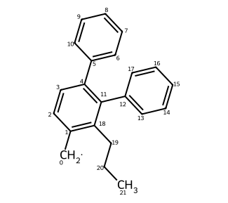 [CH2]c1ccc(-c2ccccc2)c(-c2ccccc2)c1CCC